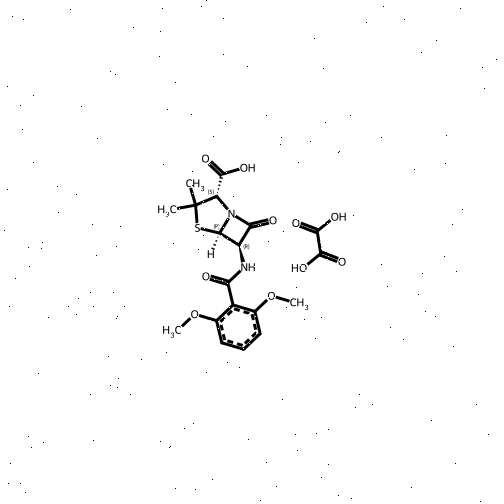 COc1cccc(OC)c1C(=O)N[C@@H]1C(=O)N2[C@@H]1SC(C)(C)[C@@H]2C(=O)O.O=C(O)C(=O)O